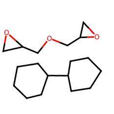 C(OCC1CO1)C1CO1.C1CCC(C2CCCCC2)CC1